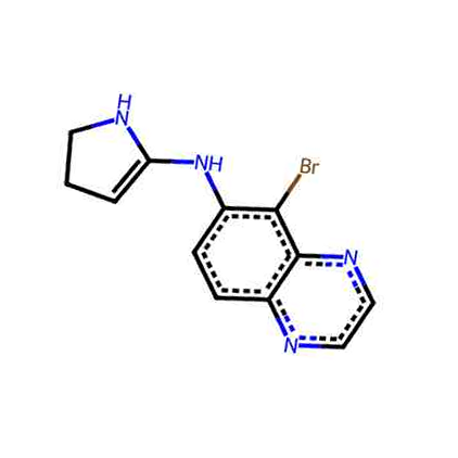 Brc1c(NC2=CCCN2)ccc2nccnc12